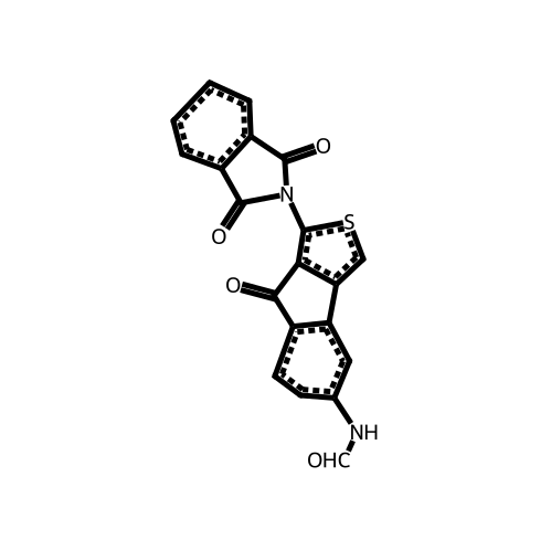 O=CNc1ccc2c(c1)-c1csc(N3C(=O)c4ccccc4C3=O)c1C2=O